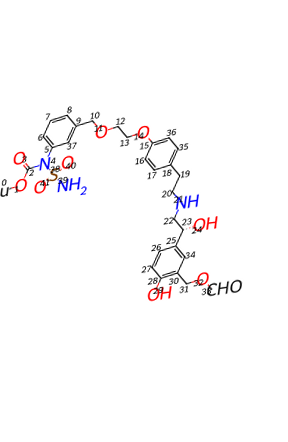 CC(C)(C)OC(=O)N(c1cccc(COCCOc2ccc(CCNC[C@H](O)c3ccc(O)c(COC=O)c3)cc2)c1)S(N)(=O)=O